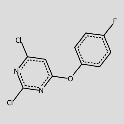 Fc1ccc(Oc2cc(Cl)nc(Cl)n2)cc1